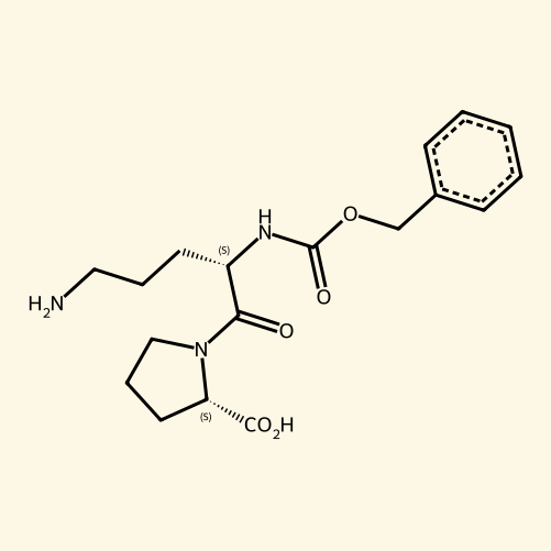 NCCC[C@H](NC(=O)OCc1ccccc1)C(=O)N1CCC[C@H]1C(=O)O